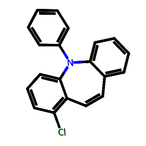 Clc1cccc2c1C=Cc1ccccc1N2c1ccccc1